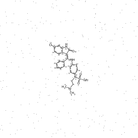 CCCS(=O)(=O)N(CCN(C)C)c1ccc(N/C(=C2\C(=O)Nc3cc(Cl)ccc32)c2ccncc2)cc1